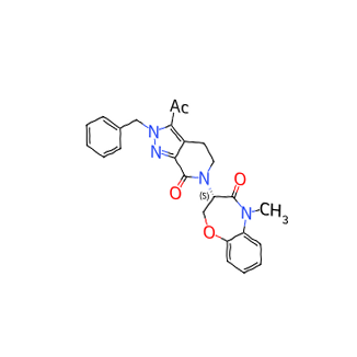 CC(=O)c1c2c(nn1Cc1ccccc1)C(=O)N([C@H]1COc3ccccc3N(C)C1=O)CC2